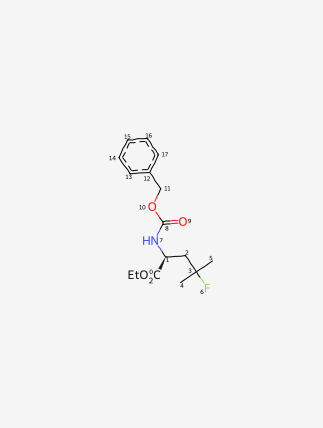 CCOC(=O)[C@H](CC(C)(C)F)NC(=O)OCc1ccccc1